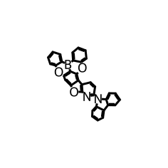 c1ccc2c(c1)Oc1cc3oc4nc(-n5c6ccccc6c6ccccc65)ccc4c3c3c1B2c1ccccc1O3